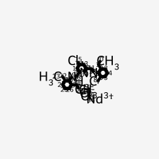 CCc1cccc(CC)c1N=Cc1cc(Cl)cc(C=Nc2c(CC)cccc2CC)n1.[Cl-].[Cl-].[Cl-].[Nd+3]